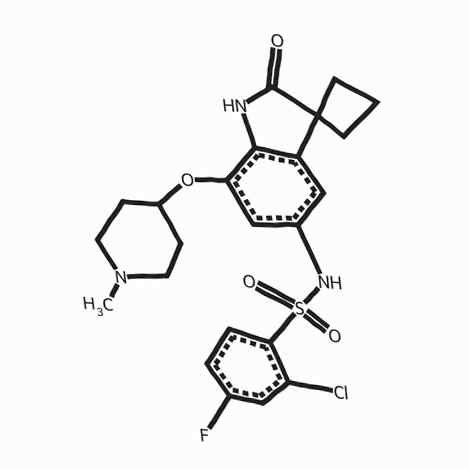 CN1CCC(Oc2cc(NS(=O)(=O)c3ccc(F)cc3Cl)cc3c2NC(=O)C32CCC2)CC1